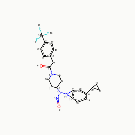 O=NN(C1CCN(C(=O)Cc2ccc(C(F)(F)F)cc2)CC1)N1c2ccc(C3CC3)cc21